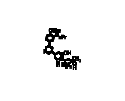 CCCOc1cc(-c2cncc([C@@H](CO)CB(O)O[C@H](C)CC(C)(C)O)c2)ccc1OC